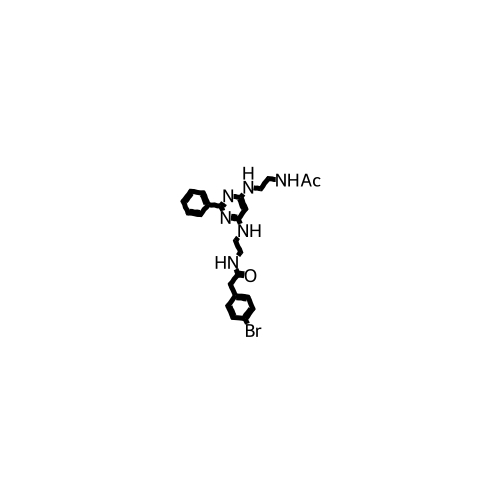 CC(=O)NCCNc1cc(NCCNC(=O)Cc2ccc(Br)cc2)nc(-c2ccccc2)n1